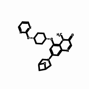 Cn1c(=O)cnc2cc(N3CC4CC(C3)O4)cc(O[C@H]3CC[C@@H](Oc4ncccn4)CC3)c21